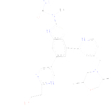 CCN(C(N)=O)c1nc2cc(-c3cnc(CCO)nc3)cc(-c3cc(CN4CC(C)OCC4C)ccn3)c2s1